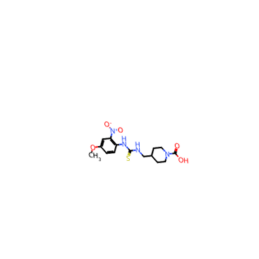 COc1ccc(NC(=S)NCC2CCN(C(=O)O)CC2)c([N+](=O)[O-])c1